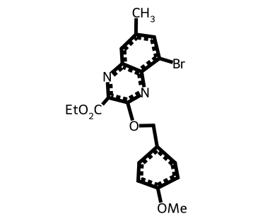 CCOC(=O)c1nc2cc(C)cc(Br)c2nc1OCc1ccc(OC)cc1